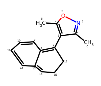 Cc1noc(C)c1C1=c2ccccc2=CCC1